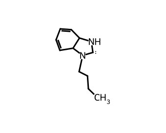 CCCCN1[C]NC2C=CC=CC21